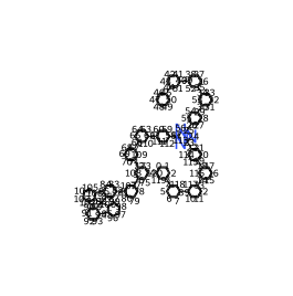 c1ccc(-c2cccc(-c3cccc(-c4cccc(-c5ccc(-c6nc(-c7ccc(-c8cccc(-c9cccc(-c%10cccc(-c%11ccccc%11)c%10)c9)c8)cc7)nc(-c7ccc(-c8cccc(-c9cccc(-c%10cccc(-c%11cccc(-c%12ccc%13c(c%12)C%12(c%14ccccc%14-c%14ccccc%14%12)c%12ccccc%12-%13)c%11)c%10)c9)c8)cc7)n6)cc5)c4)c3)c2)cc1